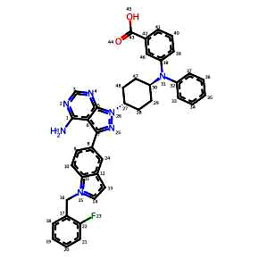 Nc1ncnc2c1c(-c1ccc3c(ccn3Cc3ccccc3F)c1)nn2[C@H]1CC[C@H](N(c2ccccc2)c2cccc(C(=O)O)c2)CC1